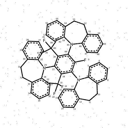 Fc1c(N2c3ccccc3CCc3ccccc32)c(C(F)(F)F)c(N2c3ccccc3CCc3ccccc32)c(C(F)(F)F)c1N1c2ccccc2CCc2ccccc21